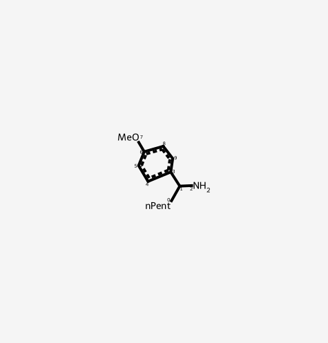 CCCCCC(N)c1ccc(OC)cc1